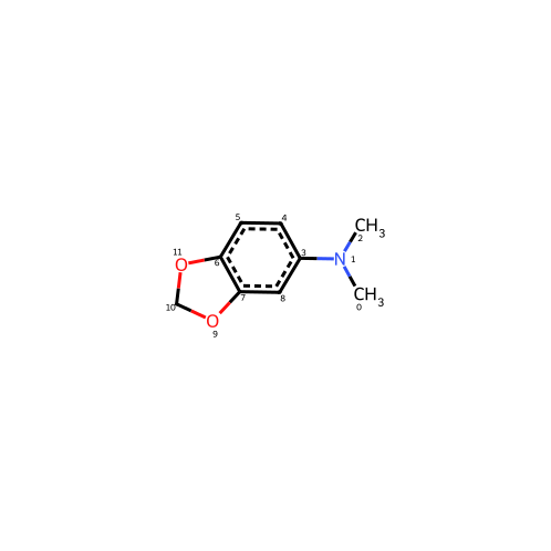 CN(C)c1ccc2c(c1)OCO2